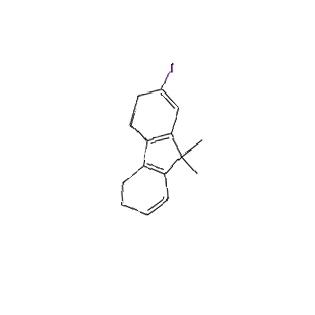 CC1(C)C2=C(CCC=C2)C2=C1C=C(I)CC2